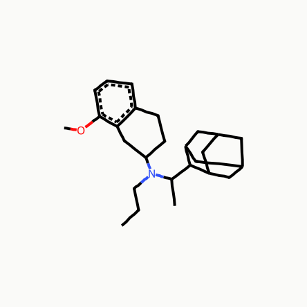 CCCN(C1CCc2cccc(OC)c2C1)C(C)C1C2CC3CC(C2)CC1C3